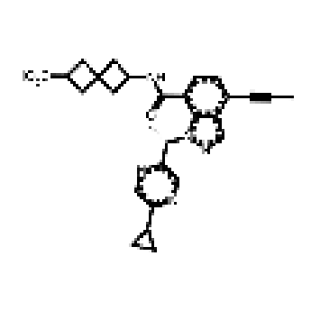 CC#Cc1ccc(C(=O)NC2CC3(C2)CC(C(=O)O)C3)c2c1cnn2[C@@H](C)c1cnc(C2CC2)cn1